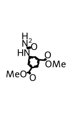 COC(=O)c1cc(NC(N)=O)cc(C(=O)OC)c1